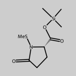 CSN1C(=O)CC[C@H]1C(=O)O[Si](C)(C)C